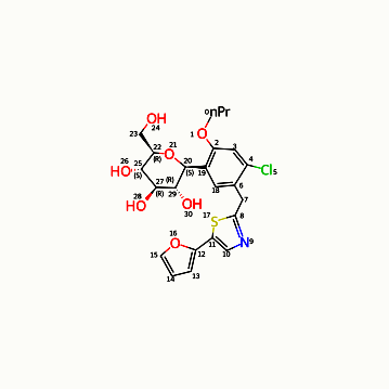 CCCOc1cc(Cl)c(Cc2ncc(-c3ccco3)s2)cc1[C@@H]1O[C@H](CO)[C@@H](O)[C@H](O)[C@H]1O